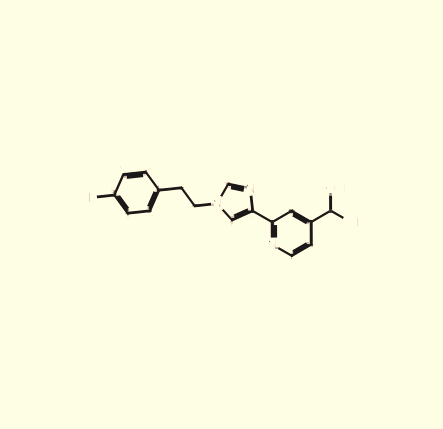 OC(O)c1ccnc(-c2cn(CCc3ccc(F)cc3)cn2)c1